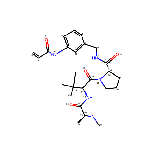 C=CC(=O)Nc1cccc(CNC(=O)[C@@H]2CCCN2C(=O)[C@@H](NC(=O)[C@H](C)NC)C(C)(C)C)c1